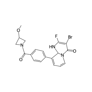 COC1CN(C(=O)c2ccc(C3=CC=CN4C(=O)C(Br)=C(F)NC34)cc2)C1